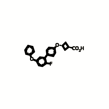 O=C(O)[C@H]1C[C@H](Oc2ccc(-c3cc(Oc4ccccc4)ccc3F)cc2)C1